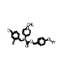 CC(C)Oc1ccc(COC(=O)N(Cc2ccc(Cl)cc2F)C2CCN(C)CC2)cc1